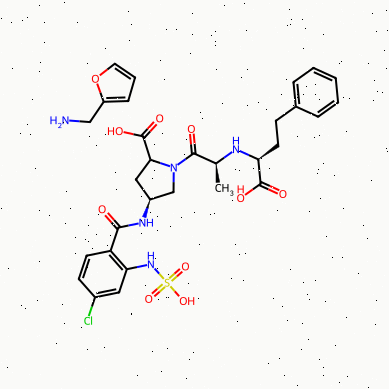 C[C@H](N[C@@H](CCc1ccccc1)C(=O)O)C(=O)N1C[C@@H](NC(=O)c2ccc(Cl)cc2NS(=O)(=O)O)CC1C(=O)O.NCc1ccco1